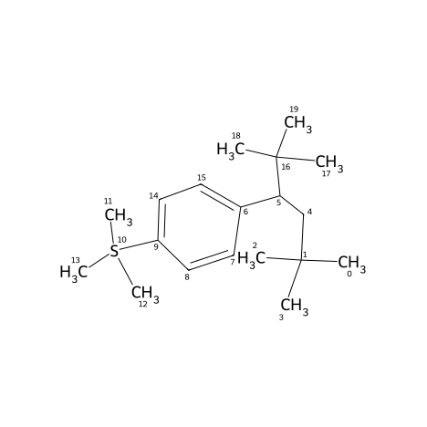 CC(C)(C)CC(c1ccc(S(C)(C)C)cc1)C(C)(C)C